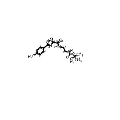 Cc1ccc(-c2noc(C(=O)NCCNC(=O)OC(C)(C)C)n2)cc1